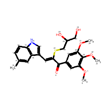 COc1cc(C(=O)/C(=C/c2c[nH]c3ccc(C)cc23)SCC(O)CO)cc(OC)c1OC